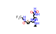 O=C1NC(=O)/C(=C/c2cnn3c(NC4CC4)cc(-c4ccc(C(=O)NCCC(F)(F)F)s4)nc23)N1